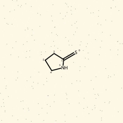 S=C1CCCN1